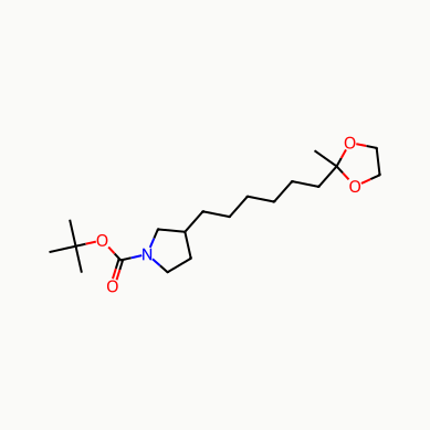 CC(C)(C)OC(=O)N1CCC(CCCCCCC2(C)OCCO2)C1